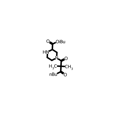 CCCCC(=O)C(C)(C)C(=O)N1CCNC(C(=O)OCC(C)C)C1